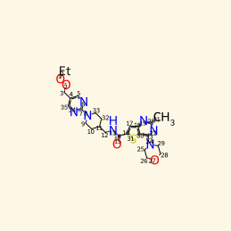 CCOOCc1cnc(N2CCC(CNC(=O)c3cc4nc(C)nc(N5CCOCC5)c4s3)CC2)nc1